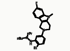 CCCCN(CCC)Nc1cc(N2CCc3c(c4ccc(F)cc4n3C)C2)ccc1CC